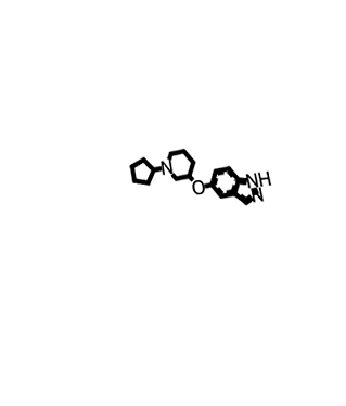 c1cc2[nH]ncc2cc1OC1CCCN(C2CCCC2)C1